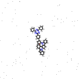 c1ccc(-c2nc(-c3ccccc3)nc(-c3ccc(-c4cccc(-n5c6ccccc6c6ccc7c(c8ccccc8c8cc9ccccc9n87)c65)c4)cc3)n2)cc1